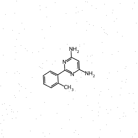 Cc1ccccc1-c1nc(N)cc(N)n1